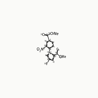 COC(=O)c1ccc(-n2cc(F)cc2C(=O)OC)c([N+](=O)[O-])c1